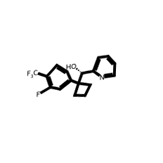 O[C@H](c1ccccn1)C1(c2ccc(C(F)(F)F)c(F)c2)CCC1